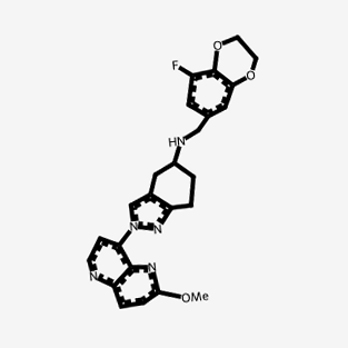 COc1ccc2nccc(-n3cc4c(n3)CCC(NCc3cc(F)c5c(c3)OCCO5)C4)c2n1